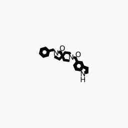 O=C(c1ccc2[nH]ccc2c1)N1CCC2(CC1)CCN(Cc1ccccc1)C2=O